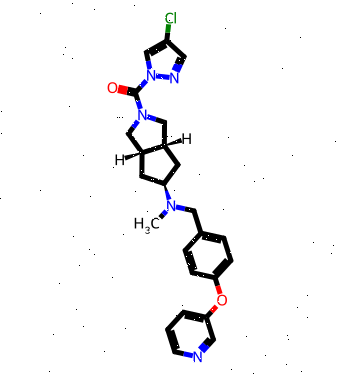 CN(Cc1ccc(Oc2cccnc2)cc1)[C@H]1C[C@@H]2CN(C(=O)n3cc(Cl)cn3)C[C@@H]2C1